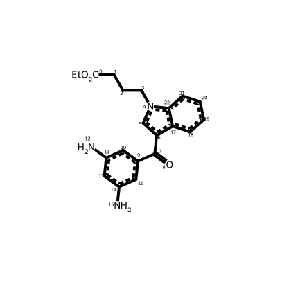 CCOC(=O)CCCn1cc(C(=O)c2cc(N)cc(N)c2)c2ccccc21